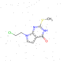 CSc1nc2c(ccn2CCCl)c(=O)[nH]1